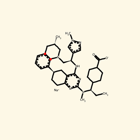 CC[C@H](C1CCC(C(=O)[O-])CC1)N(C)c1nc2c(c(N[C@@H](CN3CCC[C@H](C)C3)c3cnn(C)c3)n1)C[C@H](c1ccccc1)CC2.[Na+]